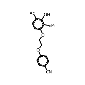 CCCc1c(OCCOc2ccc(C#N)cc2)ccc(C(C)=O)c1O